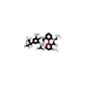 CCN(C(=O)c1ccc(F)cc1C)c1cccc(C(=O)Nc2c(O)cc(C(F)(C(F)(F)F)C(F)(F)F)cc2OC(F)F)c1OC